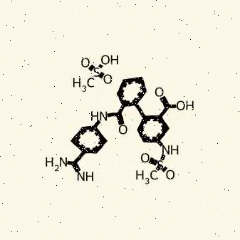 CS(=O)(=O)Nc1ccc(-c2ccccc2C(=O)Nc2ccc(C(=N)N)cc2)c(C(=O)O)c1.CS(=O)(=O)O